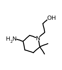 CC1(C)CCC(N)CN1CCO